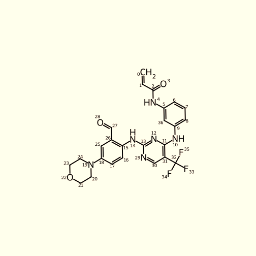 C=CC(=O)Nc1cccc(Nc2nc(Nc3ccc(N4CCOCC4)cc3C=O)ncc2C(F)(F)F)c1